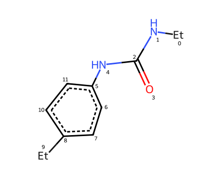 CCNC(=O)Nc1ccc(CC)cc1